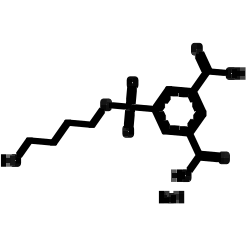 O=C(O)c1cc(C(=O)O)cc(S(=O)(=O)OCCCCO)c1.[NaH]